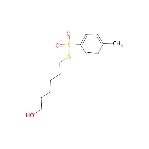 Cc1ccc(S(=O)(=O)SCCCCCCO)cc1